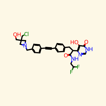 O=C(NCC(F)F)C(Cc1ccc(C#Cc2ccc(CN3CC(CO)(CCl)C3)cc2)cc1)c1nc[nH]c(=O)c1O